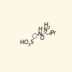 CC(C)C[C@H](N)C(=O)NC1CCC(S(=O)(=O)O)C1